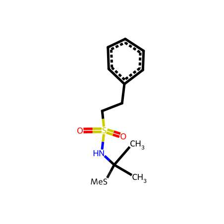 CSC(C)(C)NS(=O)(=O)CCc1ccccc1